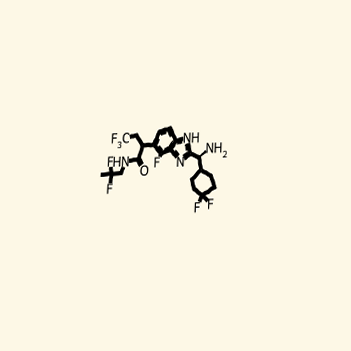 CC(F)(F)CNC(=O)C(CC(F)(F)F)c1ccc2[nH]c([C@@H](N)C3CCC(F)(F)CC3)nc2c1F